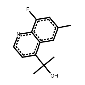 Cc1cc(F)c2nccc(C(C)(C)O)c2c1